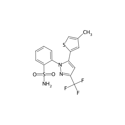 Cc1csc(-c2cc(C(F)(F)F)nn2-c2ccccc2S(N)(=O)=O)c1